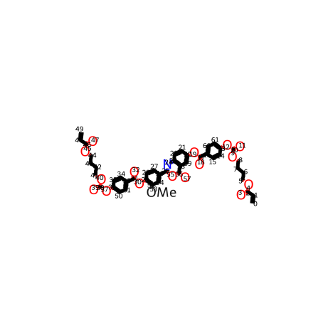 C=CC(=O)OCCCCOC(=O)Oc1ccc(C(=O)Oc2ccc3nc(-c4ccc(OC(=O)c5ccc(OC(=O)OCCCCOC(=O)C=C)cc5)c(OC)c4)oc(=O)c3c2)cc1